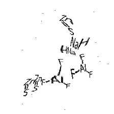 [F][Al]([F])[F].[F][Al]([F])[F].[NaH].[NaH].[S]=[Zn].[S]=[Zn].[S]=[Zn]